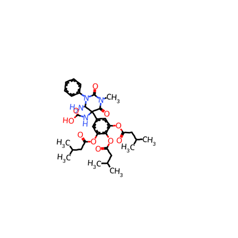 CC(C)CC(=O)Oc1cc(C2(NC(=O)O)C(=O)N(C)C(=O)N(c3ccccc3)C2N)cc(OC(=O)CC(C)C)c1OC(=O)CC(C)C